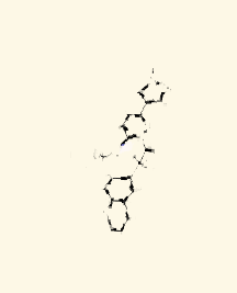 Cn1cc(-c2cc/c(=N\NC(=O)O)n(C(=O)C(F)(F)c3ccc4ncccc4c3)n2)cn1